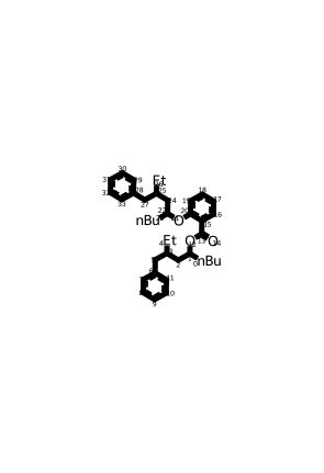 CCCCC(CC(CC)Cc1ccccc1)OC(=O)c1ccccc1OC(CCCC)CC(CC)Cc1ccccc1